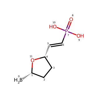 B[C@H]1CC[C@@H](/C=C/P(=O)(O)O)O1